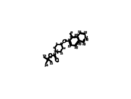 Cc1c(OC2CCN(C(=O)OC(C)(C)C)CC2)ccc2cnccc12